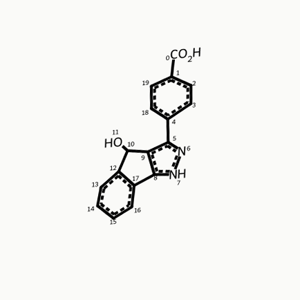 O=C(O)c1ccc(-c2n[nH]c3c2C(O)c2ccccc2-3)cc1